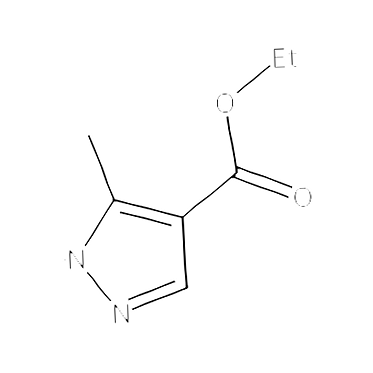 CCOC(=O)C1=C(C)[N]N=C1